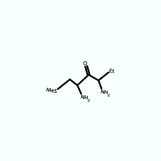 CCC(N)C(=O)C(N)CSC